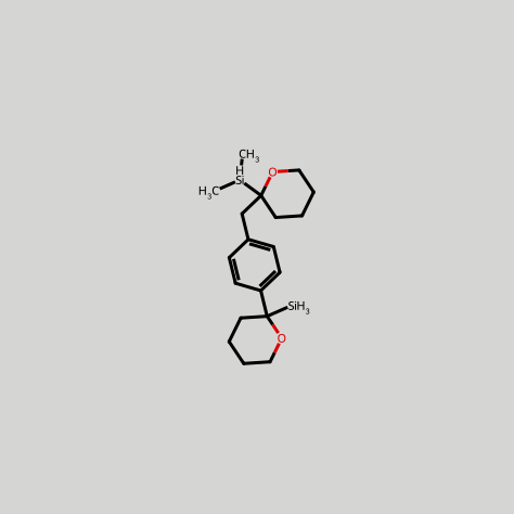 C[SiH](C)C1(Cc2ccc(C3([SiH3])CCCCO3)cc2)CCCCO1